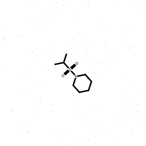 CC(C)S(=O)(=O)N1[CH]CCCC1